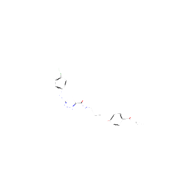 COC(=O)c1ccc(OCCCNC(=O)c2nnc(Nc3ccc(F)c(F)c3)o2)cc1